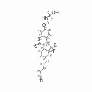 CC(C)(O)NCOc1ccc2cc(-c3ccc(CCCCC#N)cc3C(F)(F)F)c(=S)sc2c1